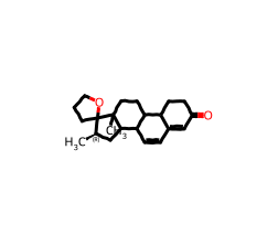 C[C@@H]1CC2C3C=CC4=CC(=O)CCC4C3CCC2(C)C12CCCO2